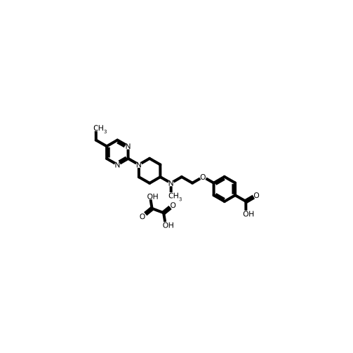 CCc1cnc(N2CCC(N(C)CCOc3ccc(C(=O)O)cc3)CC2)nc1.O=C(O)C(=O)O